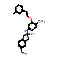 COc1ccc2c(c1)CC(Nc1ccc(OC)c(OCCc3cccc(C)c3)c1)(C(=O)O)C2